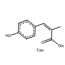 CC(=Cc1ccc(O)cc1)C(=O)O.[CsH]